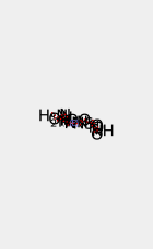 Nc1ncnc2c1c(-c1ccc(Oc3ccccc3)cc1)nn2[C@@H]1CCCN(C(=O)/C=C/CN2CCN(C(=O)CCSc3cccc4c3CN(C3CCC(=O)NC3=O)C4=O)CC2)C1